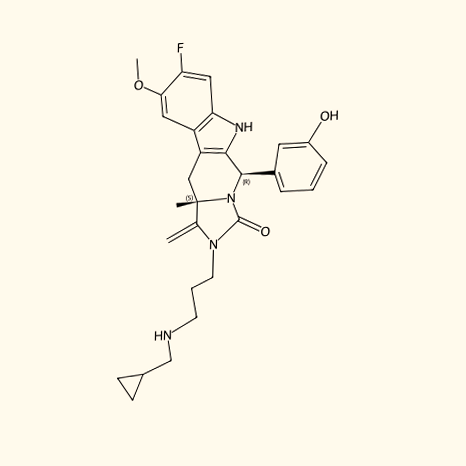 C=C1N(CCCNCC2CC2)C(=O)N2[C@H](c3cccc(O)c3)c3[nH]c4cc(F)c(OC)cc4c3C[C@@]12C